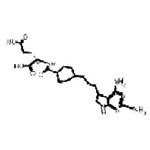 Nc1nc(N)c2c(n1)NCC2CCCC1CCC(C(=O)N[C@@H](CCC(=O)O)C(=O)O)CC1